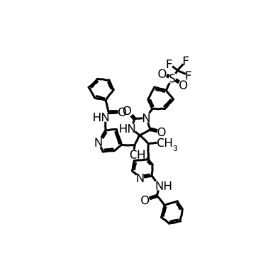 CC(c1ccnc(NC(=O)c2ccccc2)c1)C1(C(C)c2ccnc(NC(=O)c3ccccc3)c2)NC(=O)N(c2ccc(S(=O)(=O)C(F)(F)F)cc2)C1=O